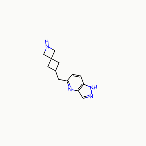 c1cc2[nH]ncc2nc1CC1CC2(CNC2)C1